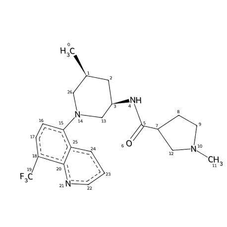 C[C@H]1C[C@@H](NC(=O)C2CCN(C)C2)CN(c2ccc(C(F)(F)F)c3ncccc23)C1